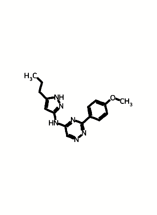 CCCc1cc(Nc2cnnc(-c3ccc(OC)cc3)n2)n[nH]1